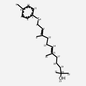 C/C(=C\CSc1ccc(C)cc1)CC/C=C(\C)CCCC(C)(C)O